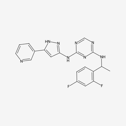 CC(Nc1ncnc(Nc2cc(-c3cccnc3)[nH]n2)n1)c1ccc(F)cc1F